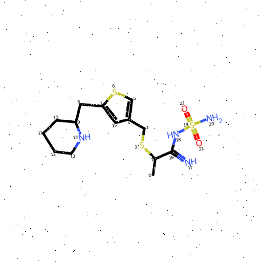 CC(SCc1csc(CC2CCCCN2)c1)C(=N)NS(N)(=O)=O